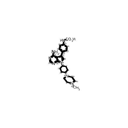 CN1CCN([C@H]2CC[C@H](n3cc(-c4ccc(NC(=O)O)cc4)c4c(N)ncnc43)CC2)CC1